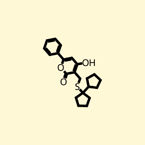 O=c1oc(-c2ccccc2)cc(O)c1CSC1(C2CCCC2)CCCC1